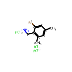 Cc1cc(C)c(CN)c(Br)c1.Cl.Cl.Cl